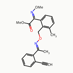 C#Cc1ccccc1/C(C)=N/OCc1c(C)cccc1/C(=N\OC)C(=O)OC